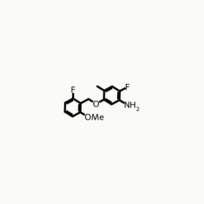 COc1cccc(F)c1COc1cc(N)c(F)cc1C